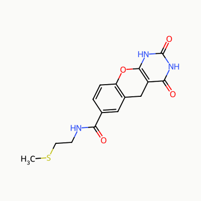 CSCCNC(=O)c1ccc2c(c1)Cc1c([nH]c(=O)[nH]c1=O)O2